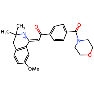 COc1ccc2c(c1)C(=CC(=O)c1ccc(C(=O)N3CCOCC3)cc1)NC(C)(C)C2